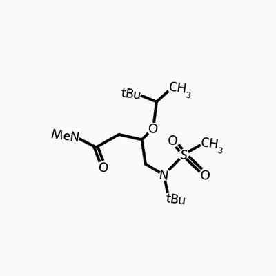 CNC(=O)CC(CN(C(C)(C)C)S(C)(=O)=O)OC(C)C(C)(C)C